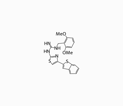 COc1cccc(OC)c1CNC(=N)Nc1nc(-c2cc3ccccc3s2)cs1